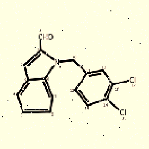 O=Cc1cc2ccccc2n1Cc1ccc(Cl)c(Cl)c1